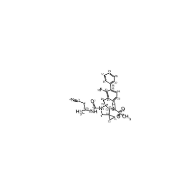 C[C@@H](CC#N)NC(=O)N1CC2(CC2)[C@H](NS(C)(=O)=O)[C@@H]1Cc1cccc(-c2ccccc2)c1F